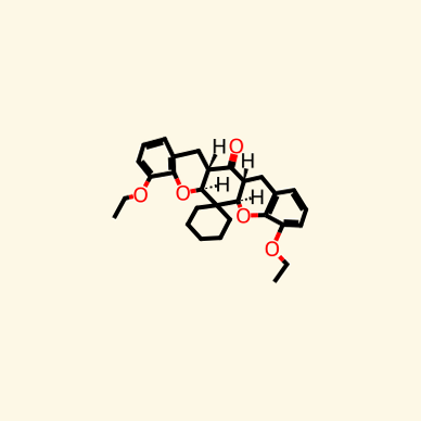 CCOc1cccc2c1O[C@@H]1[C@@H](C2)C(=O)[C@H]2Cc3cccc(OCC)c3O[C@@H]2C12CCCCC2